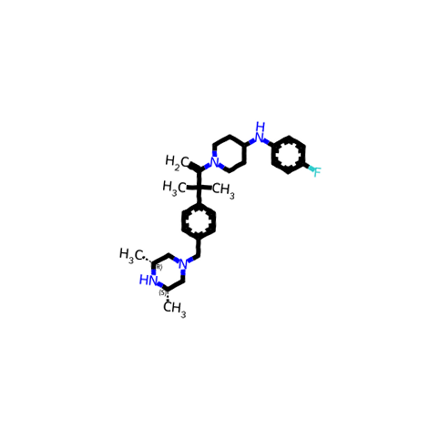 C=C(N1CCC(Nc2ccc(F)cc2)CC1)C(C)(C)c1ccc(CN2C[C@@H](C)N[C@@H](C)C2)cc1